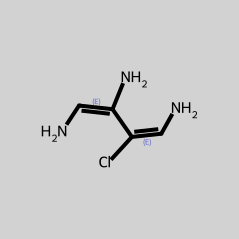 N/C=C(N)\C(Cl)=C/N